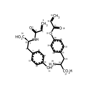 C=CC(=O)N[C@@H](Cc1ccc(O)cc1)C(=O)O.C=CC(=O)Oc1ccc(CC(N)C(=O)O)cc1